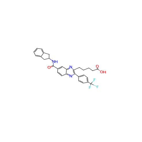 O=C(O)CCCCc1nc2cc(C(=O)NC3Cc4ccccc4C3)ccc2nc1-c1ccc(C(F)(F)F)cc1